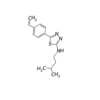 C=Cc1ccc(-c2nnc(NCCC(C)C)s2)cc1